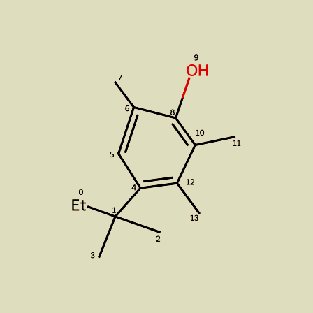 CCC(C)(C)c1cc(C)c(O)c(C)c1C